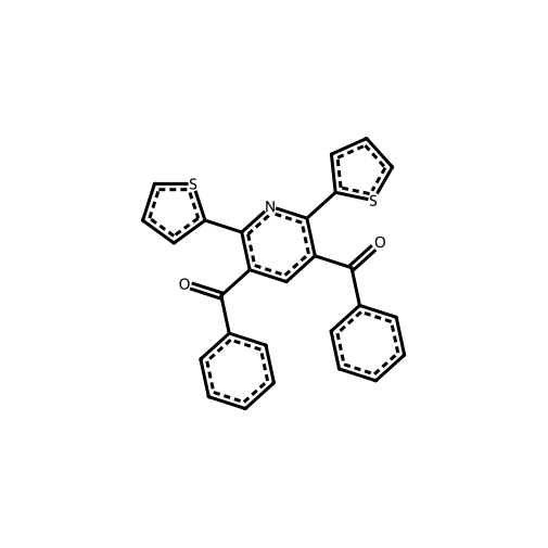 O=C(c1ccccc1)c1cc(C(=O)c2ccccc2)c(-c2cccs2)nc1-c1cccs1